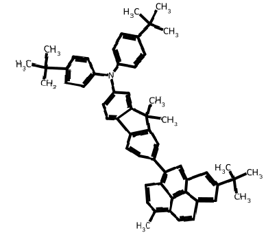 Cc1ccc2c(-c3ccc4c(c3)C(C)(C)c3cc(N(c5ccc(C(C)(C)C)cc5)c5ccc(C(C)(C)C)cc5)ccc3-4)cc3cc(C(C)(C)C)cc4ccc1c2c43